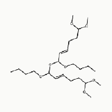 CCCCOC(C=CCCC(OC)OC)OC(C=CCCC(OC)OC)OCCCC